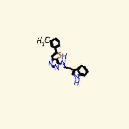 Cc1cccc(-c2cc3ncnc(NCCc4c[nH]c5ccccc45)c3s2)c1